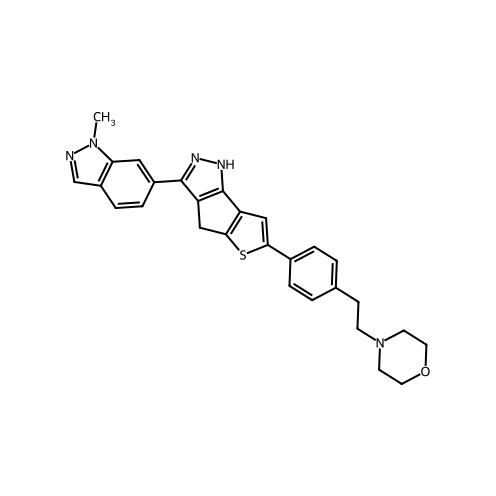 Cn1ncc2ccc(-c3n[nH]c4c3Cc3sc(-c5ccc(CCN6CCOCC6)cc5)cc3-4)cc21